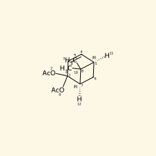 CC(=O)OC1(OC(C)=O)C=C[C@H]2C[C@@H]1C2(C)C